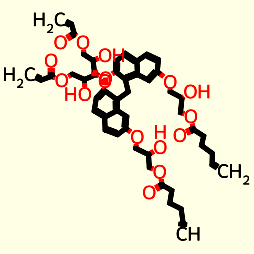 C#CCCCC(=O)OCC(O)COc1ccc2ccc(OCC(O)COC(=O)C=C)c(Cc3c(OCC(O)COC(=O)C=C)ccc4ccc(OCC(O)COC(=O)CCCC=C)cc34)c2c1